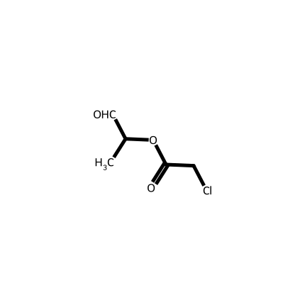 CC(C=O)OC(=O)CCl